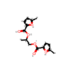 Cc1ccc(C(=O)OCC(C)OC(=O)c2ccc(C)o2)o1